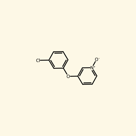 [O-][n+]1cccc(Oc2cccc(Cl)c2)c1